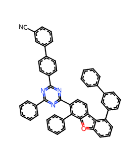 N#Cc1cccc(-c2ccc(-c3nc(-c4ccccc4)nc(-c4ccc5c(oc6cccc(-c7cccc(-c8ccccc8)c7)c65)c4-c4ccccc4)n3)cc2)c1